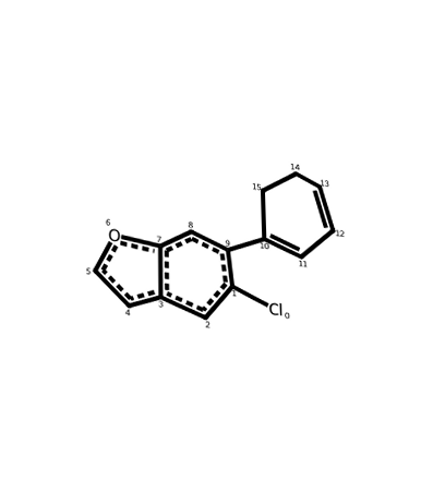 Clc1cc2ccoc2cc1C1=CC=CCC1